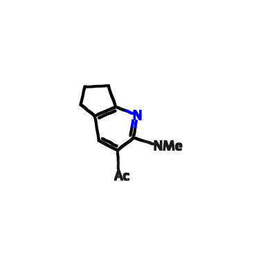 CNc1nc2c(cc1C(C)=O)CCC2